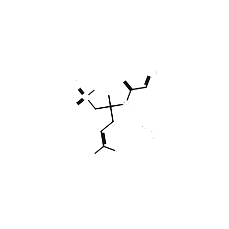 C=CC(=O)NC(C)(CC=C(C)C(=O)[O-])CS(=O)(=O)[O-].[Na+].[Na+]